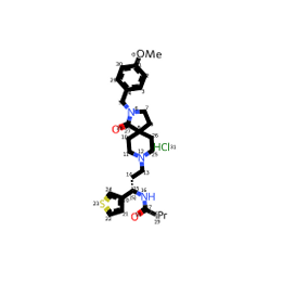 COc1ccc(CN2CCC3(CCN(CC[C@H](NC(=O)C(C)C)c4ccsc4)CC3)C2=O)cc1.Cl